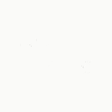 CCCCN(CCCC)c1ccc(C=CC(=O)c2cccc(CN(C)C)c2)cc1